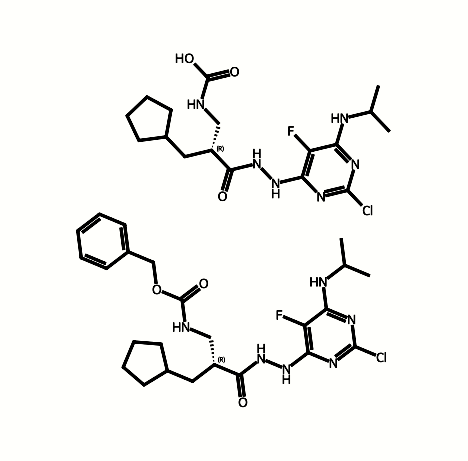 CC(C)Nc1nc(Cl)nc(NNC(=O)[C@@H](CNC(=O)O)CC2CCCC2)c1F.CC(C)Nc1nc(Cl)nc(NNC(=O)[C@@H](CNC(=O)OCc2ccccc2)CC2CCCC2)c1F